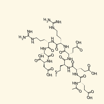 CSCC[C@H](NC(=O)[C@H](CCC(=O)O)NC(=O)[C@H](CCC(=O)O)NC(C)=O)C(=O)N[C@@H](CCC(=O)O)C(=O)N[C@@H](CCCNC(=N)N)C(=O)N[C@@H](CCCNC(=N)N)C(=O)N[C@@H](C)C(=O)N[C@@H](CC(=O)O)C(=O)O